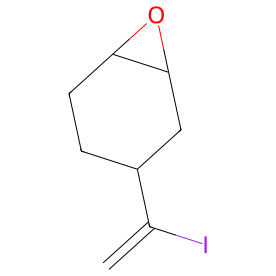 C=C(I)C1CCC2OC2C1